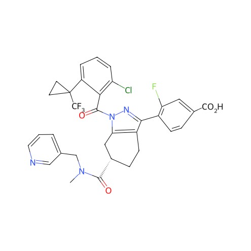 CN(Cc1cccnc1)C(=O)[C@H]1CCc2c(-c3ccc(C(=O)O)cc3F)nn(C(=O)c3c(Cl)cccc3C3(C(F)(F)F)CC3)c2C1